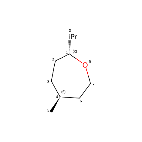 CC(C)[C@H]1CC[C@H](C)CCO1